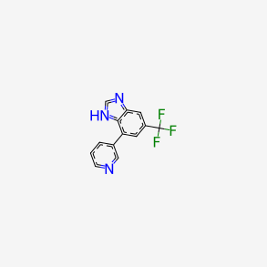 FC(F)(F)c1cc(-c2cccnc2)c2[nH]cnc2c1